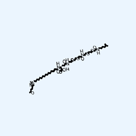 CC(=O)CCc1cn(CCCCCCCCCCCCCCCC(=O)N[C@H](CCC(=O)NCCOCCOCC(=O)NCCOCCOCC(=O)NCCCCC(C)C)C(=O)O)nn1